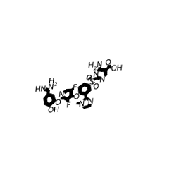 CN1CC=NC1c1cc(S(=O)(=O)c2ncc(C(=O)O)c(N)n2)ccc1Oc1c(F)cnc(Oc2cc(C(=N)N)ccc2O)c1F